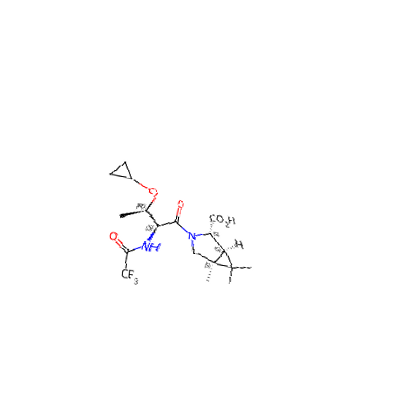 C[C@@H](OC1CC1)[C@H](NC(=O)C(F)(F)F)C(=O)N1C[C@@]2(C)[C@@H]([C@H]1C(=O)O)C2(C)C